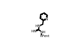 CCCCCNC(=N)NCc1ccccn1